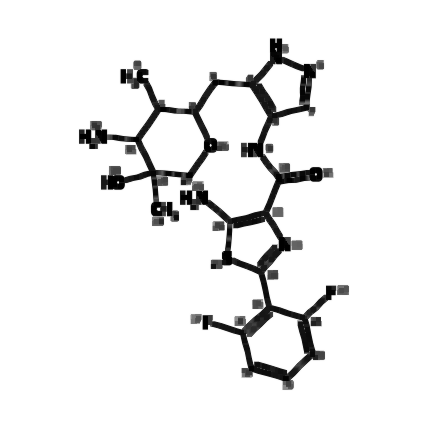 CC1C(Cc2[nH]ncc2NC(=O)c2nc(-c3c(F)cccc3F)sc2N)OCC(C)(O)C1N